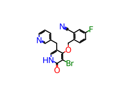 N#Cc1cc(F)ccc1COc1c(Cc2cccnc2)c[nH]c(=O)c1Br